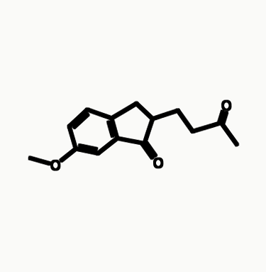 COc1ccc2c(c1)C(=O)C(CCC(C)=O)C2